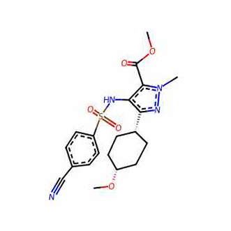 COC(=O)c1c(NS(=O)(=O)c2ccc(C#N)cc2)c([C@H]2CC[C@@H](OC)CC2)nn1C